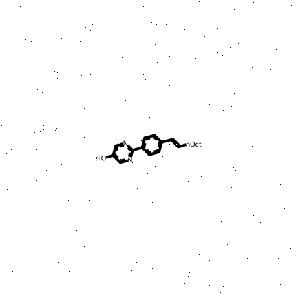 CCCCCCCC/C=C/c1ccc(-c2ncc(O)cn2)cc1